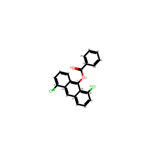 O=C(Oc1c2cccc(Cl)c2cc2cccc(Cl)c12)c1ccccc1